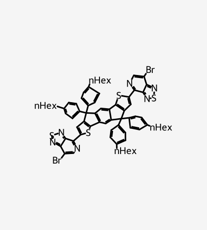 CCCCCCc1ccc(C2(c3ccc(CCCCCC)cc3)c3cc4c(cc3-c3sc(-c5ncc(Br)c6nsnc56)cc32)C(c2ccc(CCCCCC)cc2)(c2ccc(CCCCCC)cc2)c2cc(-c3ncc(Br)c5nsnc35)sc2-4)cc1